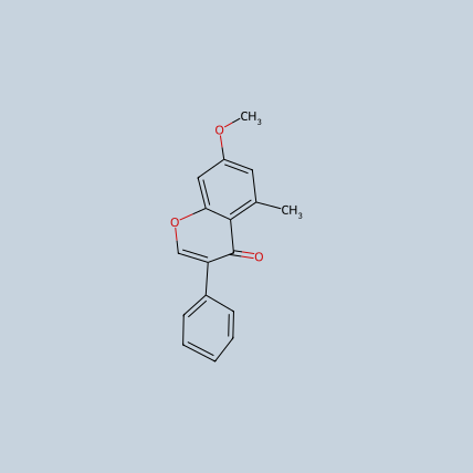 COc1cc(C)c2c(=O)c(-c3ccccc3)coc2c1